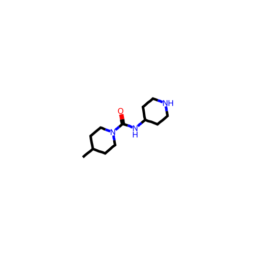 CC1CCN(C(=O)NC2CCNCC2)CC1